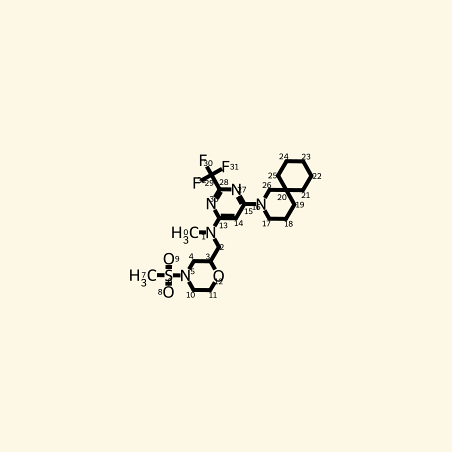 CN(CC1CN(S(C)(=O)=O)CCO1)c1cc(N2CCCC3(CCCCC3)C2)nc(C(F)(F)F)n1